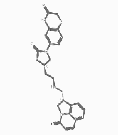 O=C1CSc2ccc(N3C[C@@H](CCNC[C@H]4Cn5c(=O)ccc6cccc4c65)OC3=O)cc2N1